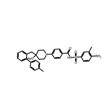 COC1(Cc2ccccc2-c2ccc(C)cc2)CCN(c2ccc(C(=O)NS(=O)(=O)c3ccc(N)c(C)c3)cc2)CC1